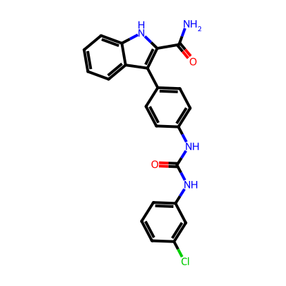 NC(=O)c1[nH]c2ccccc2c1-c1ccc(NC(=O)Nc2cccc(Cl)c2)cc1